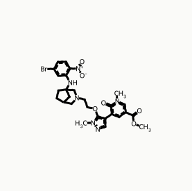 COC(=O)c1cc(-c2cnn(C)c2OCCN2CC3CCC(Nc4cc(Br)ccc4[N+](=O)[O-])(C3)C2)c(=O)n(C)c1